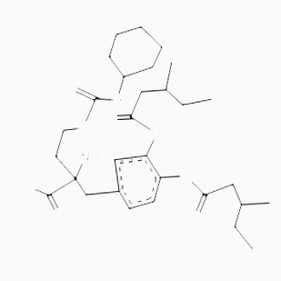 CCC(C)CC(=O)Oc1ccc(CC(N)(C[C@H](C)OC(=O)OC2CCCCC2)C(=O)O)cc1OC(=O)CC(C)CC